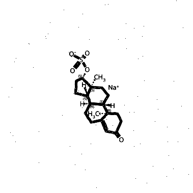 C[C@]12CC[C@H]3[C@@H](CCC4=CC(=O)CC[C@@]43C)[C@@H]1CC[C@@H]2OS(=O)(=O)[O-].[Na+]